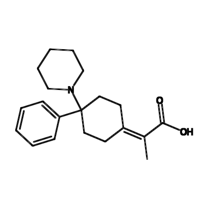 CC(C(=O)O)=C1CCC(c2ccccc2)(N2CCCCC2)CC1